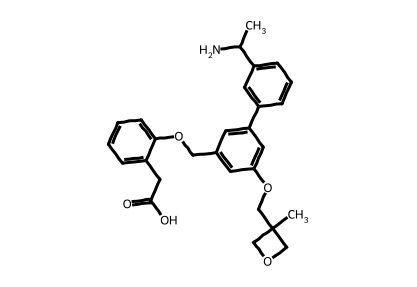 CC(N)c1cccc(-c2cc(COc3ccccc3CC(=O)O)cc(OCC3(C)COC3)c2)c1